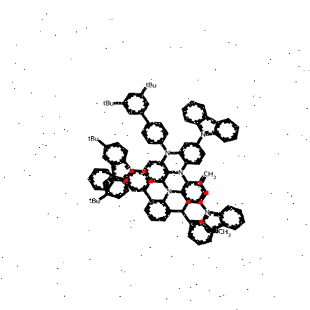 C=CC=CC(C/C=C\C=C)c1cccc(-c2cccc(-c3ccccc3)c2)c1N1c2cc(-n3c4ccccc4c4ccccc43)ccc2N2c3ccc(-n4c5ccccc5c5ccccc54)cc3N(c3ccc(-c4cc(C(C)(C)C)cc(C(C)(C)C)c4)cc3)c3cc(-n4c5ccc(C(C)(C)C)cc5c5cc(C(C)(C)C)ccc54)cc1c32